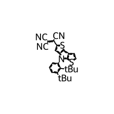 CC(C)(C)c1cccc(-n2c3cc(C(C#N)=C(C#N)C#N)sc3c3ccsc32)c1C(C)(C)C